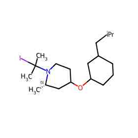 CC(C)CC1CCCC(OC2CCN(C(C)(C)I)[C@@H](C)C2)C1